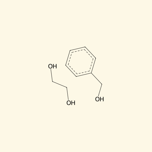 OCCO.OCc1ccccc1